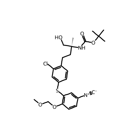 [C-]#[N+]c1ccc(OCOC)c(Sc2ccc(CC[C@@](C)(CO)NC(=O)OC(C)(C)C)c(Cl)c2)c1